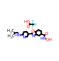 CC(C)CNc1ccc(-c2nc3cc(C(=O)NO)ccc3o2)cn1.O=C(O)C(F)(F)F